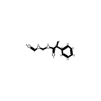 CC(C(=O)OCOC=O)c1ccccc1